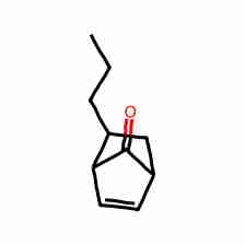 CCCC1CC2C=CC1C2=O